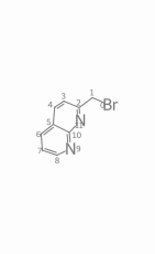 BrCc1ccc2cccnc2n1